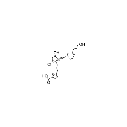 O=C(O)c1ccc(CCCC2[C@H](Cl)C[C@@H](O)[C@@H]2C#Cc2cccc(CCCO)c2)s1